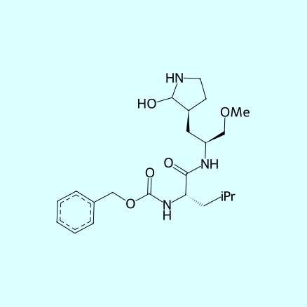 COC[C@H](C[C@@H]1CCNC1O)NC(=O)[C@H](CC(C)C)NC(=O)OCc1ccccc1